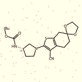 CC(C)(C)OC(=O)N[C@H]1CCN(c2sc3c(c2C#N)CCC2(C3)OCCO2)C1